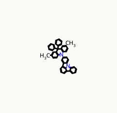 Cc1ccc2c(c1)C(c1ccccc1)(c1ccccc1)c1cc(C)ccc1N2c1ccc2c(c1)c1cccc3c4ccccc4n2c31